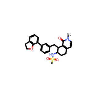 CCn1ccc2c(c1=O)C(Cc1cccc(-c3cccc4c3OCC4)c1)C(NS(C)(=O)=O)CC2